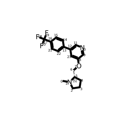 CN1CCC[C@H]1COc1cncc(-c2ccc(C(F)(F)F)cc2)c1